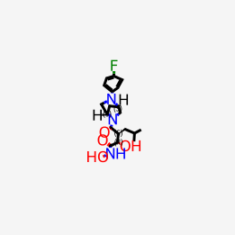 CC(C)C[C@H](C(=O)N1C[C@@H]2C[C@H]1CN2c1ccc(F)cc1)[C@@H](O)C(=O)NO